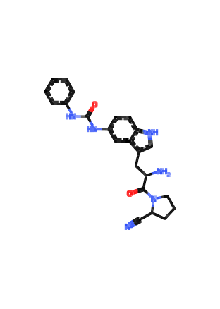 N#CC1CCCN1C(=O)C(N)Cc1c[nH]c2ccc(NC(=O)Nc3ccccc3)cc12